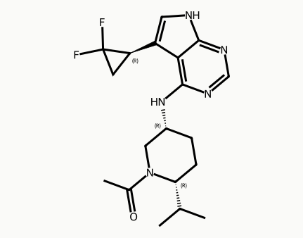 CC(=O)N1C[C@H](Nc2ncnc3[nH]cc([C@H]4CC4(F)F)c23)CC[C@@H]1C(C)C